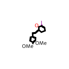 COc1ccc(C=C=C2CCC=C(I)C2=O)cc1OC